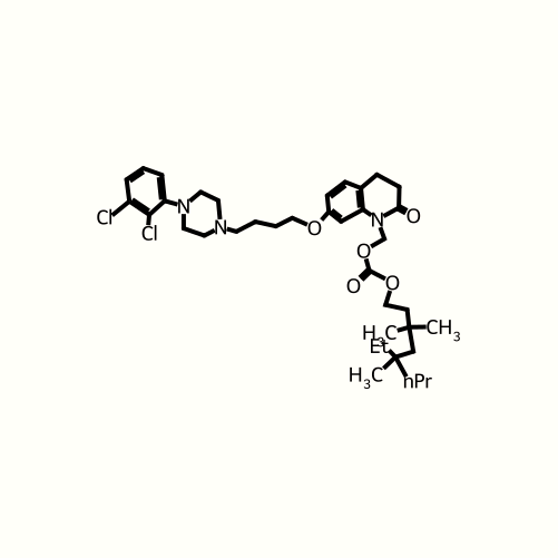 CCCC(C)(CC)CC(C)(C)CCOC(=O)OCN1C(=O)CCc2ccc(OCCCCN3CCN(c4cccc(Cl)c4Cl)CC3)cc21